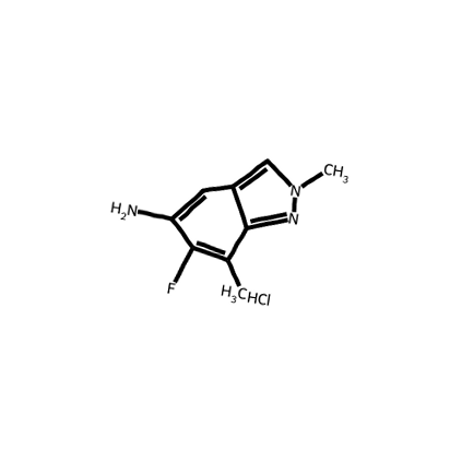 Cc1c(F)c(N)cc2cn(C)nc12.Cl